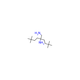 CC(C)(C)CCC(N)(CN)CCC(C)(C)C